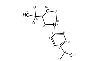 CC(S)c1ccc(N2CCOC(C(C)(C)O)C2)cc1